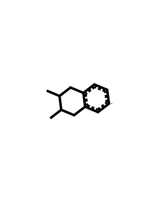 CC1Cc2c[c]ccc2CC1C